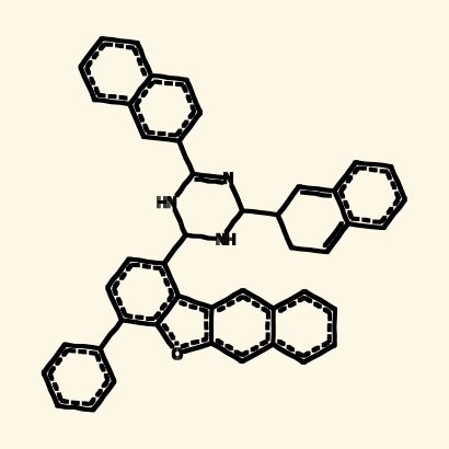 C1=c2ccccc2=CC(C2N=C(c3ccc4ccccc4c3)NC(c3ccc(-c4ccccc4)c4oc5cc6ccccc6cc5c34)N2)C1